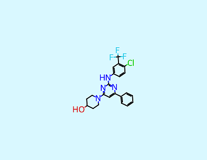 OC1CCN(c2cc(-c3ccccc3)nc(Nc3ccc(Cl)c(C(F)(F)F)c3)n2)CC1